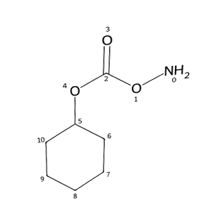 NOC(=O)OC1CCCCC1